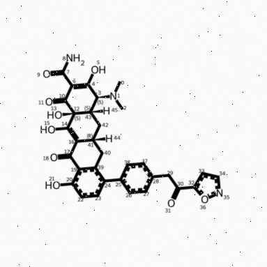 CN(C)[C@@H]1C(O)=C(C(N)=O)C(=O)[C@@]2(O)C(O)=C3C(=O)c4c(O)ccc(-c5ccc(CC(=O)c6ccno6)cc5)c4C[C@H]3C[C@@H]12